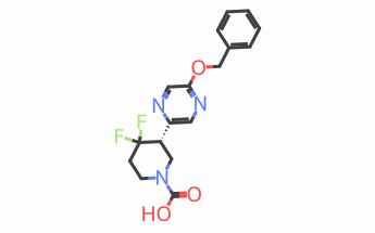 O=C(O)N1CCC(F)(F)[C@H](c2cnc(OCc3ccccc3)cn2)C1